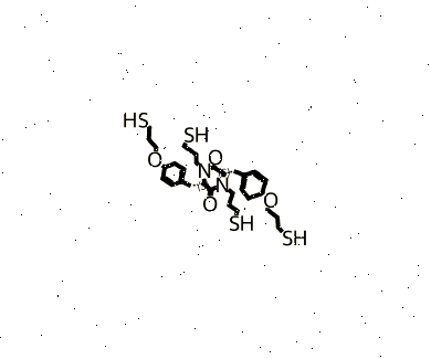 O=C1[C@H](CC2=CCC(OCCCS)C=C2)N(CCCS)C(=O)[C@H](CC2=CCC(OCCCS)C=C2)N1CCCS